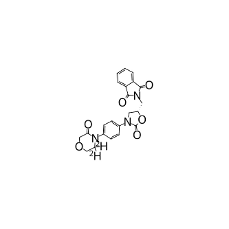 [2H]C1([2H])COCC(=O)N1c1ccc(N2C[C@H](CN3C(=O)c4ccccc4C3=O)OC2=O)cc1